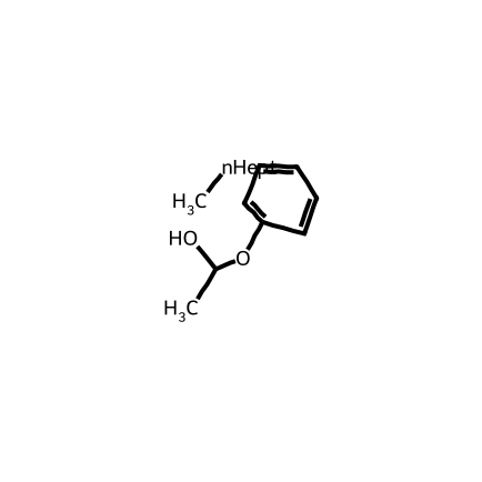 CC(O)Oc1ccccc1.CCCCCCCC